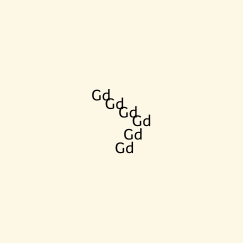 [Gd].[Gd].[Gd].[Gd].[Gd].[Gd]